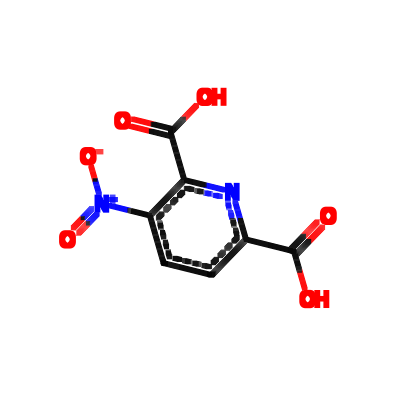 O=C(O)c1ccc([N+](=O)[O-])c(C(=O)O)n1